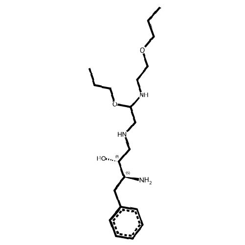 CCCOCCNC(CNC[C@@H](O)[C@@H](N)Cc1ccccc1)OCCC